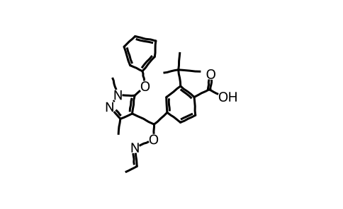 CC=NOC(c1ccc(C(=O)O)c(C(C)(C)C)c1)c1c(C)nn(C)c1Oc1ccccc1